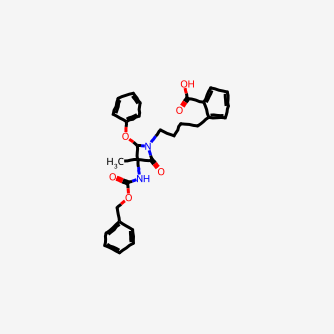 CC1(NC(=O)OCc2ccccc2)C(=O)N(CCCCc2ccccc2C(=O)O)C1Oc1ccccc1